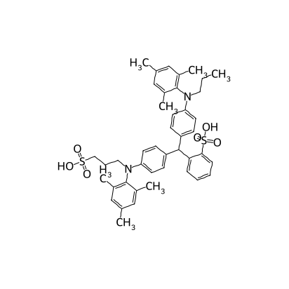 CCCN(c1ccc(C(c2ccc(N(CCCS(=O)(=O)O)c3c(C)cc(C)cc3C)cc2)c2ccccc2S(=O)(=O)O)cc1)c1c(C)cc(C)cc1C